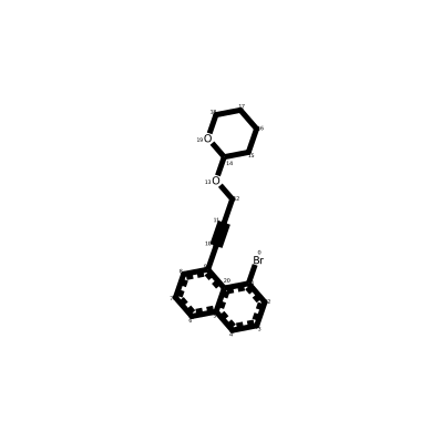 Brc1cccc2cccc(C#CCOC3CCCCO3)c12